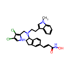 Cn1cc(CCN(Cc2[nH]cc(Cl)c2Cl)C2CCc3cc(C=CC(=O)NO)ccc32)c2ccccc21